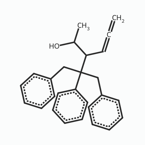 C=C=CC(C(C)O)C(Cc1ccccc1)(Cc1ccccc1)c1ccccc1